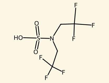 O=S(=O)(O)N(CC(F)(F)F)CC(F)(F)F